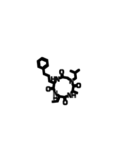 CCC1NC(=O)C(CCCc2ccccc2)NC(=O)CN(CC(C)C)C(=O)C(C)NC1=O